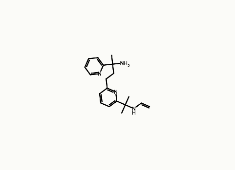 C=CNC(C)(C)c1cccc(CCC(C)(N)c2ccccn2)n1